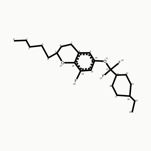 CCCCCC1CCc2cc(OC(F)(F)C3CCC(CC)CC3)cc(F)c2O1